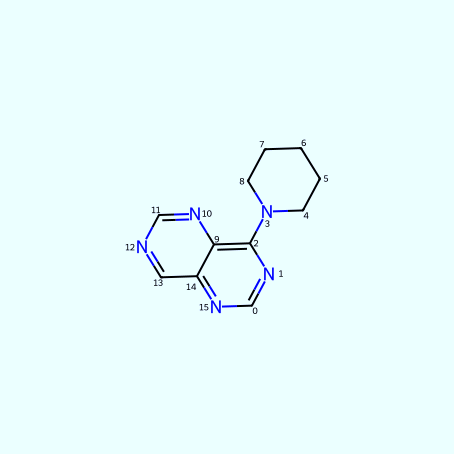 c1nc(N2CCCCC2)c2ncncc2n1